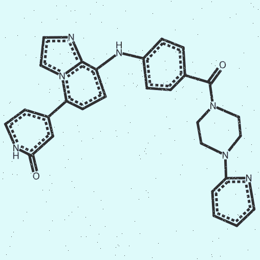 O=C(c1ccc(Nc2ccc(-c3cc[nH]c(=O)c3)n3ccnc23)cc1)N1CCN(c2ccccn2)CC1